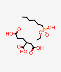 CCCCCCP(=O)(O)OCC.O=C(O)CCC(CC(=O)O)C(=O)O